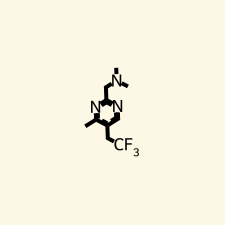 Cc1nc(CN(C)C)ncc1CC(F)(F)F